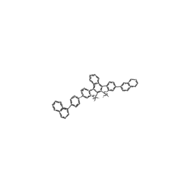 C[Si]1(C)c2cc(-c3ccc(-c4cccc5ccccc45)cc3)ccc2-c2c1c1c(c3ccccc23)-c2ccc(-c3ccc4ccccc4c3)cc2[Si]1(C)C